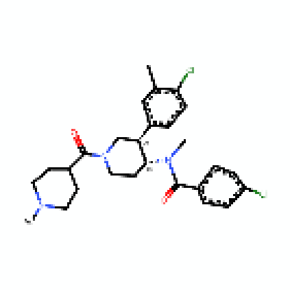 CC(=O)N1CCC(C(=O)N2CC[C@@H](N(C)C(=O)c3ccc(Cl)cc3)[C@H](c3ccc(Cl)c(C)c3)C2)CC1